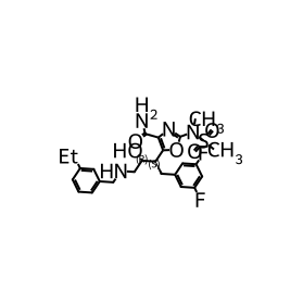 CCc1cccc(CNC[C@H](O)[C@H](Cc2cc(F)cc(F)c2)c2oc(N(C)S(C)(=O)=O)nc2C(N)=O)c1